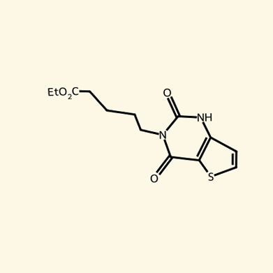 CCOC(=O)CCCCn1c(=O)[nH]c2ccsc2c1=O